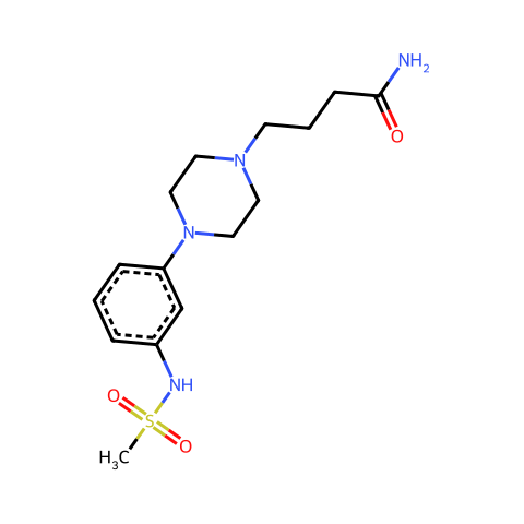 CS(=O)(=O)Nc1cccc(N2CCN(CCCC(N)=O)CC2)c1